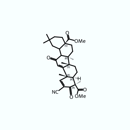 COC(=O)[C@]12CCC(C)(C)CC1C1C(=O)C=C3[C@@]4(C)C=C(C#N)C(=O)[C@](C)(C(=O)OC)[C@@H]4CC[C@@]3(C)[C@]1(C)CC2